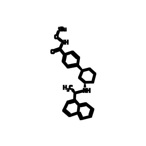 C[C@@H](N[C@H]1CCC[C@H](c2ccc(C(=O)NOC(C)(C)C)cc2)C1)c1cccc2ccccc12